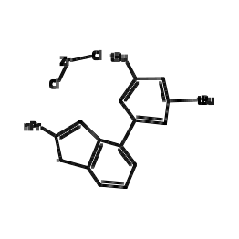 CCCC1=Cc2c(cccc2-c2cc(C(C)(C)C)cc(C(C)(C)C)c2)[CH]1.[Cl][Zr][Cl]